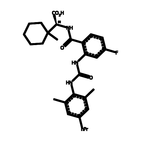 CCCc1cc(C)c(NC(=O)Nc2cc(F)ccc2C(=O)N[C@H](C(=O)O)C2(C)CCCCC2)c(C)c1